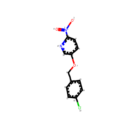 O=[N+]([O-])c1ccc(OCc2ccc(Cl)cc2)cn1